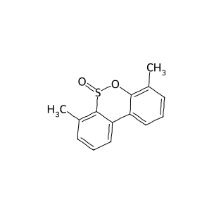 Cc1cccc2c1OS(=O)c1c(C)cccc1-2